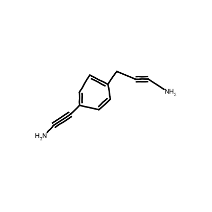 NC#CCc1ccc(C#CN)cc1